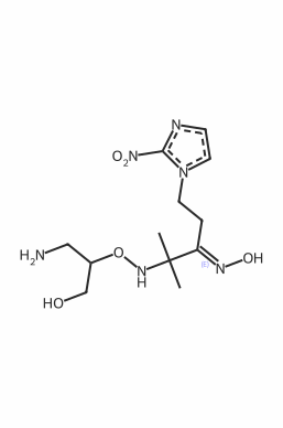 CC(C)(NOC(CN)CO)/C(CCn1ccnc1[N+](=O)[O-])=N/O